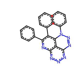 c1ccc(-c2nc3nnnc4c3c(c2-c2ccccc2)N(c2ccccc2)N=N4)cc1